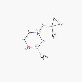 CCC1(CN2CCO[C@@H](C)C2)CC1